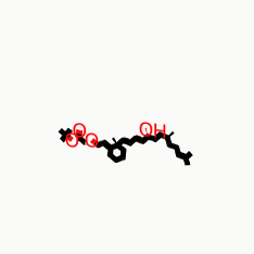 CC(C)=CCC[C@H](C)CC[C@@H](O)C=CC=C[C@]1(C)CCCCC1=CCOCC(=O)OC(C)(C)C